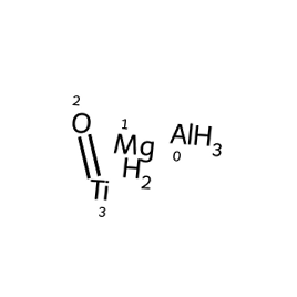 [AlH3].[MgH2].[O]=[Ti]